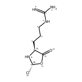 N=C(N)NCCC[C@@H]1N[C@@H](Cl)OC1=O